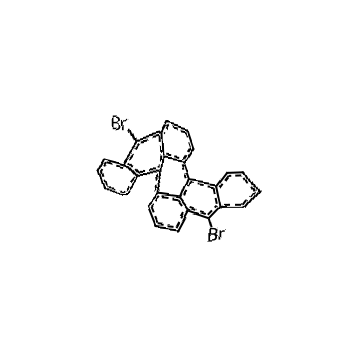 Brc1c2ccccc2c2c3cccc4c(Br)c5ccccc5c(c5cccc1c52)c43